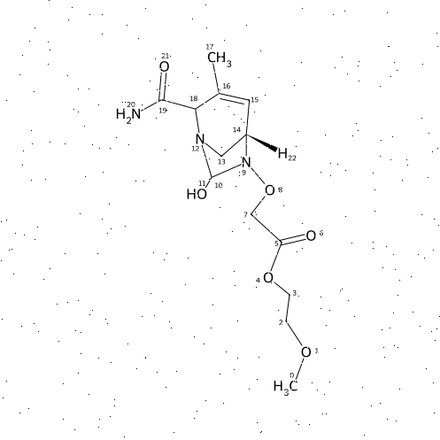 COCCOC(=O)CON1C(O)N2C[C@@H]1C=C(C)C2C(N)=O